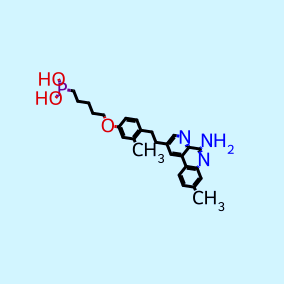 Cc1ccc2c(c1)nc(N)c1ncc(CCc3ccc(OCCCCCP(O)O)cc3C)cc12